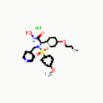 CCCO[C@H]1CC[C@H]([C@H](C(=O)NO)N(Cc2ccncc2)S(=O)(=O)c2ccc(OC)cc2)CC1.Cl